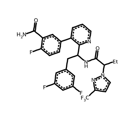 CCC(C(=O)NC(Cc1cc(F)cc(F)c1)c1ncccc1-c1ccc(F)c(C(N)=O)c1)n1ccc(C(F)(F)F)n1